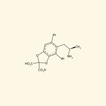 CC(C)c1cc2c(c(C(C)C)c1C[C@@H](C)N)OC(C(=O)O)(C(=O)O)O2